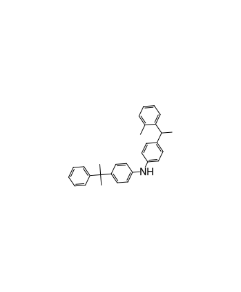 Cc1ccccc1C(C)c1ccc(Nc2ccc(C(C)(C)c3ccccc3)cc2)cc1